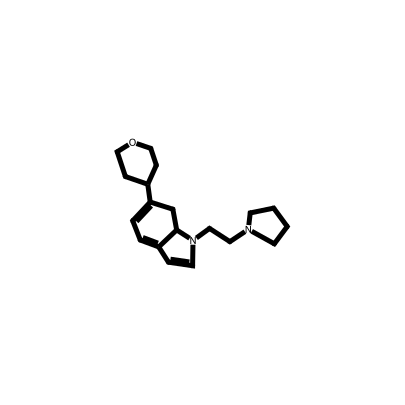 C1=CN(CCN2CCCC2)C2CC(C3CCOCC3)=CC=C12